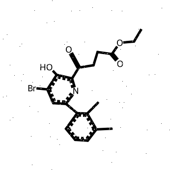 CCOC(=O)CCC(=O)c1nc(-c2cccc(C)c2C)cc(Br)c1O